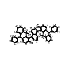 CC1(C)c2ccccc2C(c2ccccc2)c2ccc3sc4ccc5c(ccc6sc7ccc8c(c7c65)C(C)(C)c5ccccc5C8c5ccccc5)c4c3c21